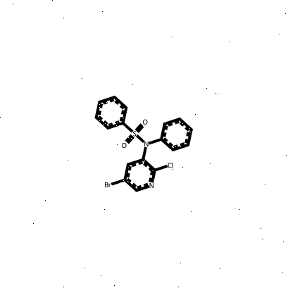 O=S(=O)(c1ccccc1)N(c1ccccc1)c1cc(Br)cnc1Cl